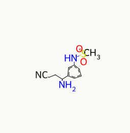 CS(=O)(=O)Nc1cccc([C@@H](N)CCC#N)c1